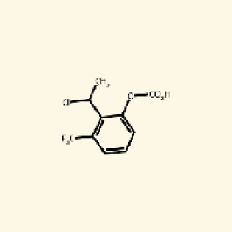 CC(Cl)c1c(OC(=O)O)cccc1C(F)(F)F